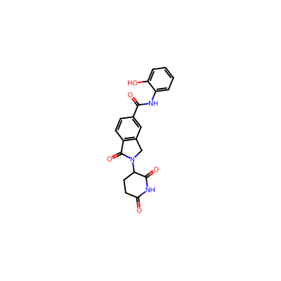 O=C1CCC(N2Cc3cc(C(=O)Nc4ccccc4O)ccc3C2=O)C(=O)N1